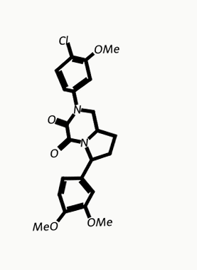 COc1cc(N2CC3CCC(c4ccc(OC)c(OC)c4)N3C(=O)C2=O)ccc1Cl